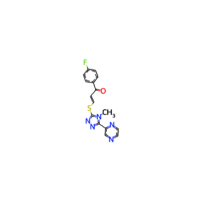 Cn1c(S/C=C/C(=O)c2ccc(F)cc2)nnc1-c1cnccn1